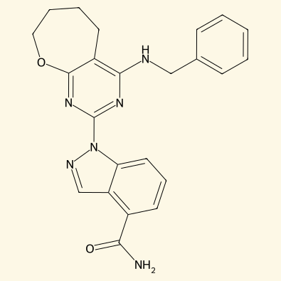 NC(=O)c1cccc2c1cnn2-c1nc(NCc2ccccc2)c2c(n1)OCCCC2